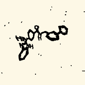 O=C(NCc1cccc(-c2ccccc2)c1)C1CCC(Nc2nc3ccccc3[nH]2)CC1